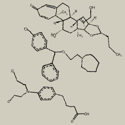 CCC[C@@H]1O[C@@H]2C[C@H]3[C@@H]4CCC5=CC(=O)C=C[C@]5(C)[C@H]4[C@@H](O)C[C@]3(C)[C@]2(C(=O)CO)O1.Clc1ccc(C(OCCN2CCCCC2)c2ccccc2)cc1.O=C(O)CCCc1ccc(N(CCCl)CCCl)cc1